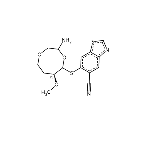 CO[C@H]1CCOCC(N)OC1Sc1cc2scnc2cc1C#N